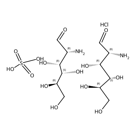 Cl.N[C@@H](C=O)[C@@H](O)[C@H](O)[C@H](O)CO.N[C@@H](C=O)[C@@H](O)[C@H](O)[C@H](O)CO.O=S(=O)(O)O